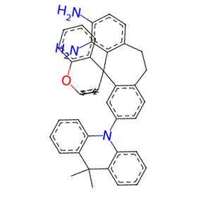 CC1(C)c2ccccc2N(c2ccc3c(c2)C2(c4ccccc4Oc4ccccc42)c2c(ccc(N)c2N)CC3)c2ccccc21